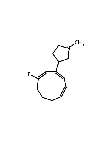 CN1CCC(C2=C/C=C\CCC/C(F)=C\2)C1